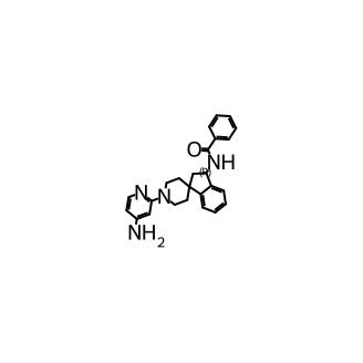 Nc1ccnc(N2CCC3(CC2)C[C@@H](NC(=O)c2ccccc2)c2ccccc23)c1